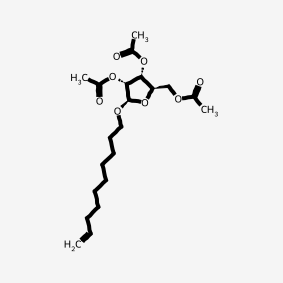 C=CCCCCCCCCO[C@@H]1O[C@H](COC(C)=O)[C@@H](OC(C)=O)[C@H]1OC(C)=O